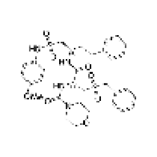 COc1ccc(NS(=O)(=O)C[C@@H](CCc2ccccc2)NC(=O)[C@H](CS(=O)(=O)Cc2ccccc2)NC(=O)N2CCOCC2)cc1